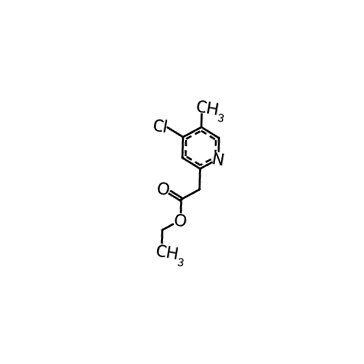 CCOC(=O)Cc1cc(Cl)c(C)cn1